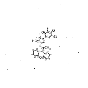 CCc1cn([C@@H]2O[C@H](CN(C)C3c4ccccc4Oc4ccccc43)[C@@H](O)[C@H]2F)c(=O)[nH]c1=O